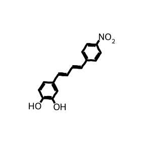 O=[N+]([O-])c1ccc(C=CC=Cc2ccc(O)c(O)c2)cc1